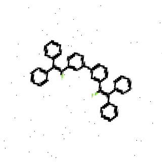 FC(=C(c1ccccc1)c1ccccc1)c1cccc(-c2cccc(C(F)=C(c3ccccc3)c3ccccc3)c2)c1